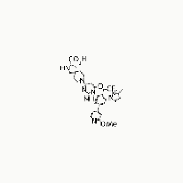 COc1cc(-c2ccc([C@@H](Oc3cc(N4CCC5(CC4)CNC(C(=O)O)C5)nc(N)n3)C(F)(F)F)c(-n3ccc(C)n3)c2)ccn1